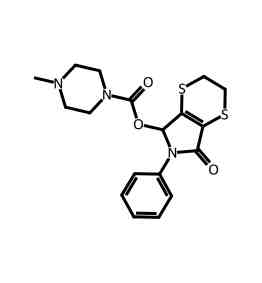 CN1CCN(C(=O)OC2C3=C(SCCS3)C(=O)N2c2ccccc2)CC1